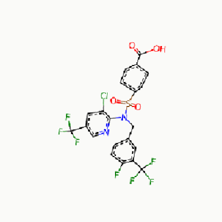 O=C(O)c1ccc(S(=O)(=O)N(Cc2ccc(F)c(C(F)(F)F)c2)c2ncc(C(F)(F)F)cc2Cl)cc1